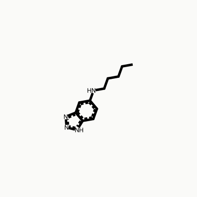 CCCCCNc1ccc2[nH]nnc2c1